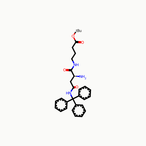 CC(C)(C)OC(=O)CCCNC(=O)[C@@H](N)CC(=O)NC(c1ccccc1)(c1ccccc1)c1ccccc1